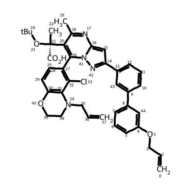 C=CCOc1cccc(-c2cccc(-c3cc4nc(C)c([C@](C)(OC(C)(C)C)C(=O)O)c(-c5ccc6c(c5Cl)N(CC=C)CCO6)n4n3)c2)c1